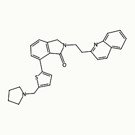 O=C1c2c(cccc2-c2ccc(CN3CCCC3)s2)CN1CCc1ccc2ccccc2n1